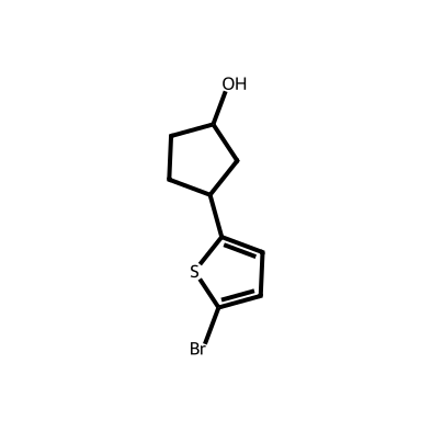 OC1CCC(c2ccc(Br)s2)C1